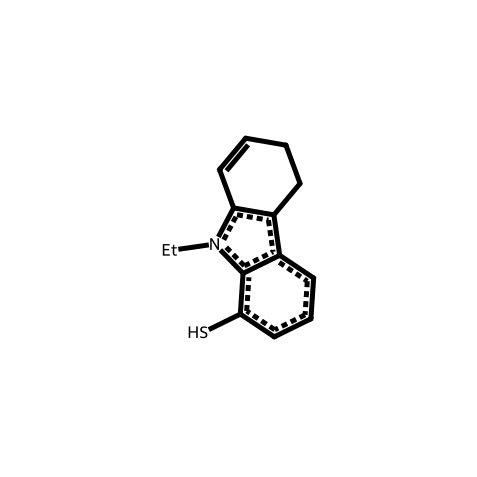 CCn1c2c(c3cccc(S)c31)CCC=C2